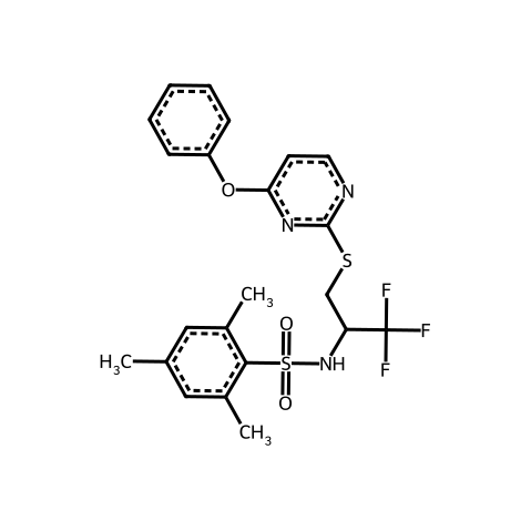 Cc1cc(C)c(S(=O)(=O)NC(CSc2nccc(Oc3ccccc3)n2)C(F)(F)F)c(C)c1